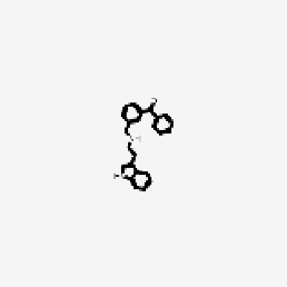 O=C(c1ccccc1)c1cccc(CNCCc2c[nH]c3ccccc23)c1